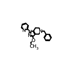 CCOc1nn(-c2ccccn2)c2c1CN(Cc1ccccc1)CC2